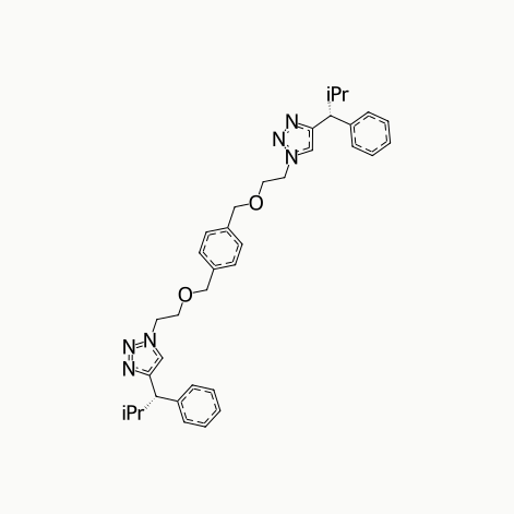 CC(C)[C@H](c1ccccc1)c1cn(CCOCc2ccc(COCCn3cc([C@H](c4ccccc4)C(C)C)nn3)cc2)nn1